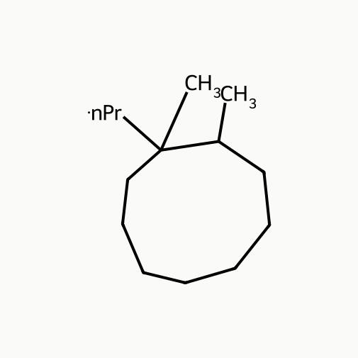 CC[CH]C1(C)CCCCCCCC1C